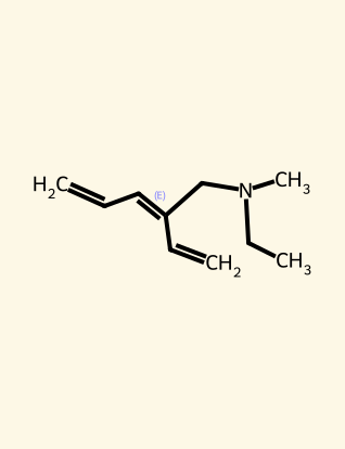 C=C/C=C(\C=C)CN(C)CC